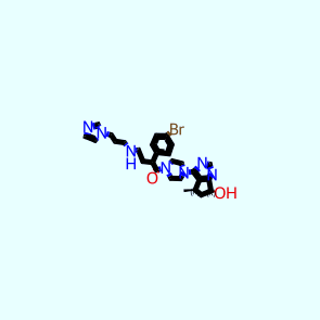 C[C@@H]1C[C@@H](O)c2ncnc(N3CCN(C(=O)C(CCNCCCn4ccnc4)c4ccc(Br)cc4)CC3)c21